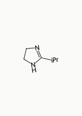 CC(C)C1=NCCN1